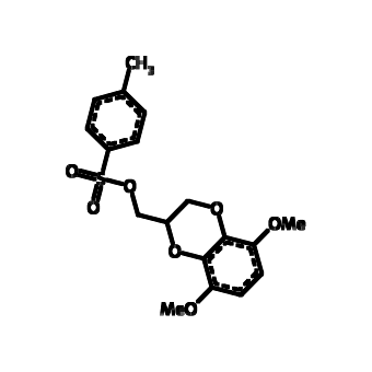 COc1ccc(OC)c2c1OCC(COS(=O)(=O)c1ccc(C)cc1)O2